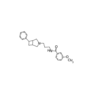 COc1cccc(C(=O)NCCCN2CC3CC(c4ccccc4)C3C2)c1